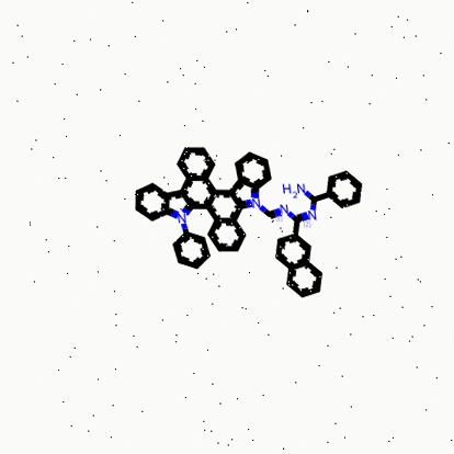 NC(/N=C(\N=C\n1c2ccccc2c2c3c4ccccc4c4c5ccccc5n(-c5ccccc5)c4c3c3ccccc3c21)c1ccc2ccccc2c1)c1ccccc1